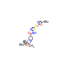 CC(C)(CN1CCC(C(=O)Nc2ncc(SCc3ncc(C(C)(C)C)o3)s2)CC1)O[SiH2]C(C)(C)C